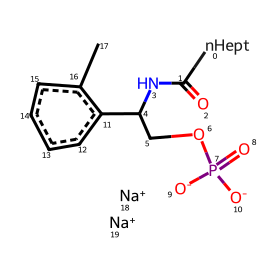 CCCCCCCC(=O)NC(COP(=O)([O-])[O-])c1ccccc1C.[Na+].[Na+]